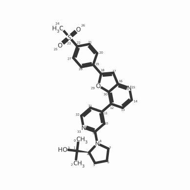 CC(C)(O)[C@@H]1CCCN1c1cc(-c2ccnc3cc(-c4ccc(S(C)(=O)=O)cc4)oc23)ccn1